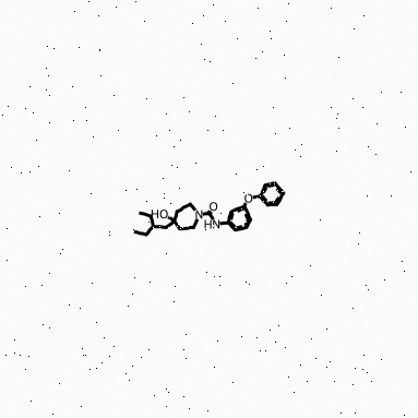 CCC(CC)CC1(O)CCN(C(=O)Nc2cccc(Oc3ccccc3)c2)CC1